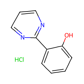 Cl.Oc1ccccc1-c1ncccn1